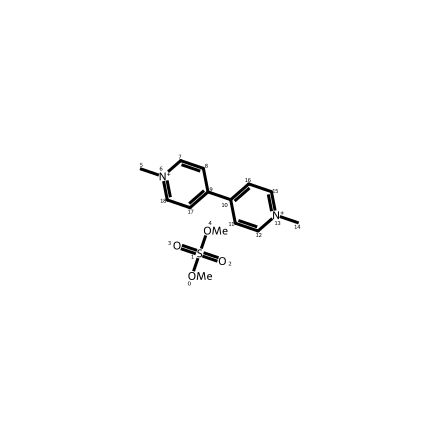 COS(=O)(=O)OC.C[n+]1ccc(-c2cc[n+](C)cc2)cc1